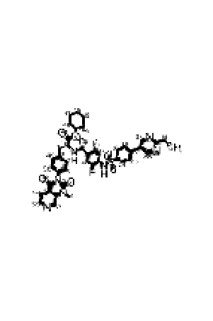 Cn1c(=O)n(-c2ccc(C[C@H](NC(=O)c3cc(F)c(NS(=O)(=O)c4ccc(-c5cnc(CO)nc5)cc4)cc3F)C(=O)OC3CCCCC3)cc2)c(=O)c2ccncc21